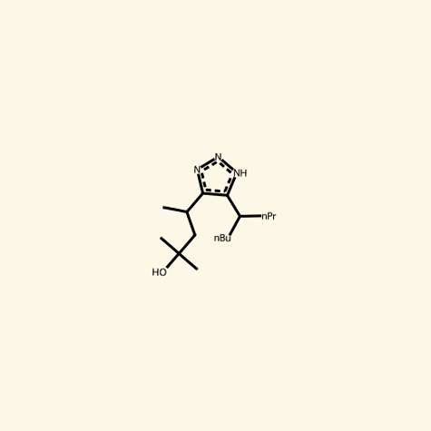 CCCCC(CCC)c1[nH]nnc1C(C)CC(C)(C)O